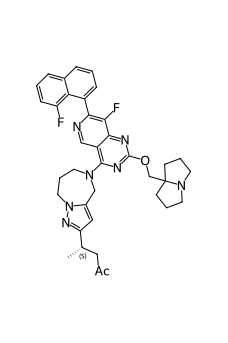 CC(=O)C[C@H](C)c1cc2n(n1)CCCN(c1nc(OCC34CCCN3CCC4)nc3c(F)c(-c4cccc5cccc(F)c45)ncc13)C2